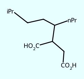 CCCC(CCC(C)C)C(CC(=O)O)C(=O)O